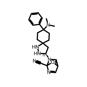 CN(C)C1(c2ccccc2)CCC2(CC1)C[C@@H](N1C=C3C=NC1(C#N)O3)NN2